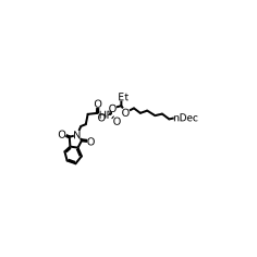 CCCCCCCCCCCCCCCCOC(CC)O[PH](=O)OC(=O)CCCN1C(=O)c2ccccc2C1=O